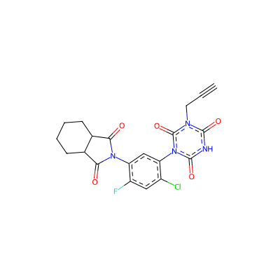 C#CCn1c(=O)[nH]c(=O)n(-c2cc(N3C(=O)C4CCCCC4C3=O)c(F)cc2Cl)c1=O